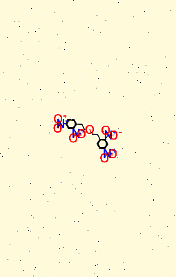 O=[N+]([O-])c1ccc(CCOCCc2ccc([N+](=O)[O-])cc2[N+](=O)[O-])c([N+](=O)[O-])c1